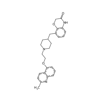 Cc1ccc2c(OCCN3CCC(Cc4cccc5c4OCC(=O)N5)CC3)cccc2n1